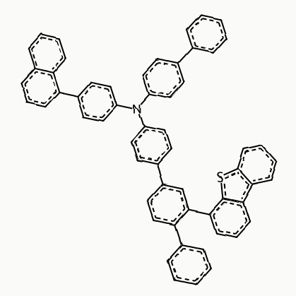 c1ccc(-c2ccc(N(c3ccc(-c4ccc(-c5ccccc5)c(-c5cccc6c5sc5ccccc56)c4)cc3)c3ccc(-c4cccc5ccccc45)cc3)cc2)cc1